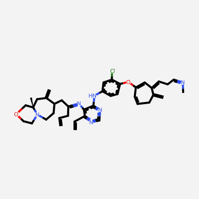 C=CC/C(CC1CCN2CCOC[C@]2(C)CC1=C)=N\c1c(C=C)ncnc1Nc1ccc(OC2=C/C(=C/C/C=N\C)C(=C)CC=C2)c(Cl)c1